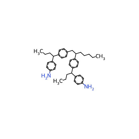 CCCCCC(Cc1ccc(C(CCC)c2ccc(N)cc2)cc1)c1ccc(C(CCC)c2ccc(N)cc2)cc1